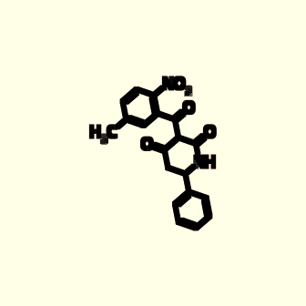 Cc1ccc([N+](=O)[O-])c(C(=O)C2C(=O)CC(c3ccccc3)NC2=O)c1